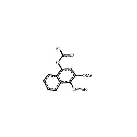 CCCOc1c(OC)cc(OC(=O)CC)c2ccccc12